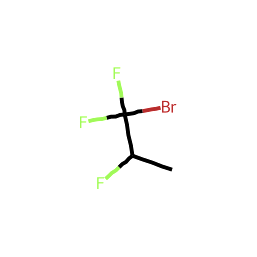 CC(F)C(F)(F)Br